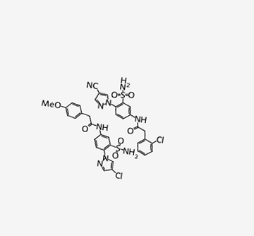 COc1ccc(CC(=O)Nc2ccc(-n3cc(Cl)cn3)c(S(N)(=O)=O)c2)cc1.N#Cc1cnn(-c2ccc(NC(=O)Cc3ccccc3Cl)cc2S(N)(=O)=O)c1